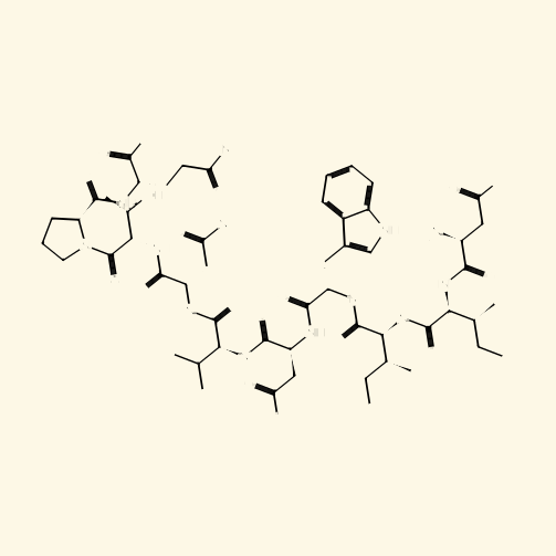 CC[C@H](C)[C@H](NC(=O)[C@@H](NC(=O)[C@@H](N)CC(=O)O)[C@@H](C)CC)C(=O)N[C@@H](Cc1c[nH]c2ccccc12)C(=O)N[C@@H](CC(=O)O)C(=O)N[C@H](C(=O)N[C@@H](CC(N)=O)C(=O)N[C@H](C(=O)N1CCC[C@H]1C(=O)N[C@@H](CCC(N)=O)C(=O)O)[C@@H](C)O)C(C)C